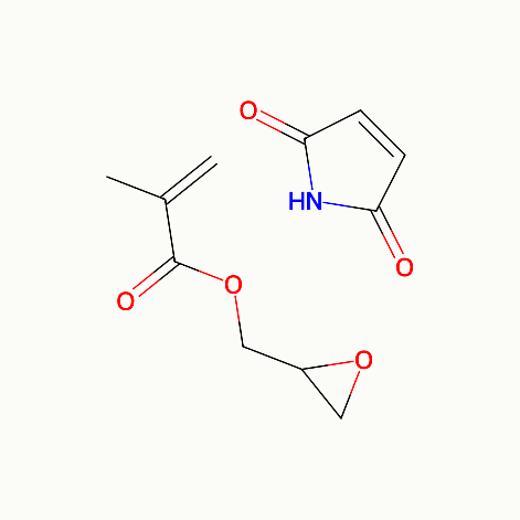 C=C(C)C(=O)OCC1CO1.O=C1C=CC(=O)N1